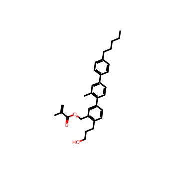 C=C(C)C(=O)OCc1cc(-c2ccc(-c3ccc(CCCCC)cc3)cc2C)ccc1CCCO